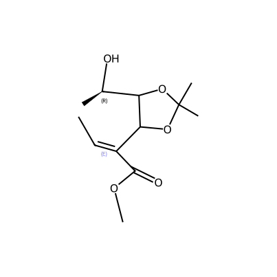 C/C=C(/C(=O)OC)C1OC(C)(C)OC1[C@@H](C)O